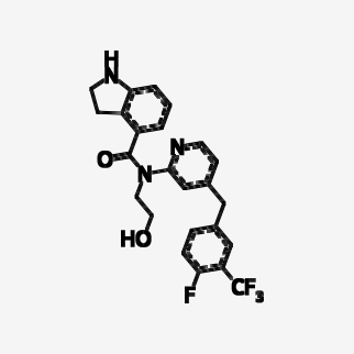 O=C(c1cccc2c1CCN2)N(CCO)c1cc(Cc2ccc(F)c(C(F)(F)F)c2)ccn1